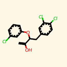 C=C(O)C(Cc1ccc(Cl)c(Cl)c1)Oc1cccc(Cl)c1